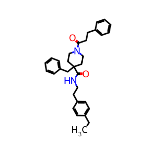 CCc1ccc(CCNC(=O)C2(Cc3ccccc3)CCN(C(=O)CCc3ccccc3)CC2)cc1